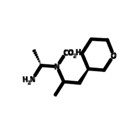 CC(C[C@H]1CCCOC1)N(C(=O)O)[C@@H](C)N